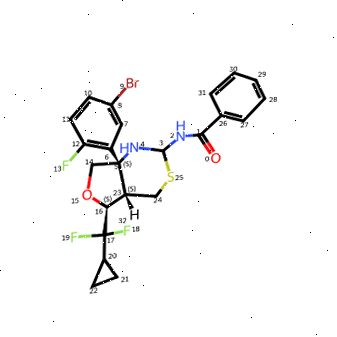 O=C(NC1N[C@@]2(c3cc(Br)ccc3F)CO[C@H](C(F)(F)C3CC3)[C@H]2CS1)c1ccccc1